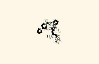 CC(C)=C/C(C)=C\C(C)=C(/C)S(=O)(=O)N1CCC[C@H]1COC(=O)N1CCC(N2CCCC2)CC1